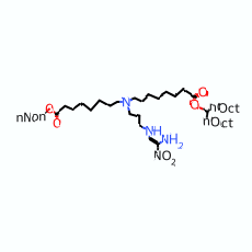 CCCCCCCCCOC(=O)CCCCCCCN(CCCCCCCC(=O)OC(CCCCCCCC)CCCCCCCC)CCCNC=C(N)[N+](=O)[O-]